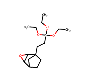 CCO[Si](CCC12CCC(C1)C1OC12)(OCC)OCC